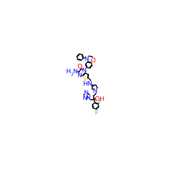 Nc1nc2sc(CN[C@@H]3CCN(CC[C@](O)(Cn4cncn4)c4ccc(F)cc4F)C3)cc2n(-c2ccc3c(c2)N(c2ccccc2)CCO3)c1=O